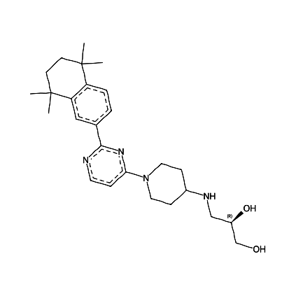 CC1(C)CCC(C)(C)c2cc(-c3nccc(N4CCC(NC[C@@H](O)CO)CC4)n3)ccc21